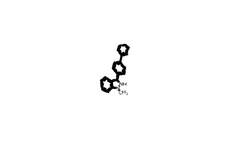 CN1NC(c2ccc(-c3ccccc3)cc2)c2ccccc21